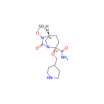 NC(=O)[C@@]1(OCC2CCNCC2)CC[C@@H]2CN1C(=O)N2OS(=O)(=O)O